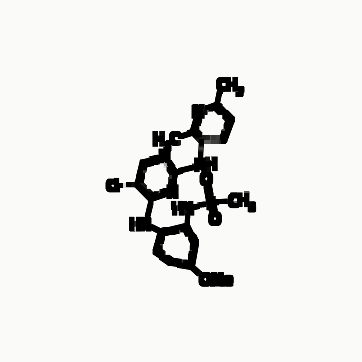 COc1ccc(Nc2nc(Nc3ccc(C)nc3C)ncc2Cl)c(NS(C)(=O)=O)c1